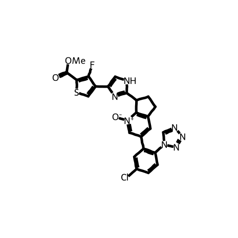 COC(=O)c1scc(-c2c[nH]c(C3CCc4cc(-c5cc(Cl)ccc5-n5cnnn5)c[n+]([O-])c43)n2)c1F